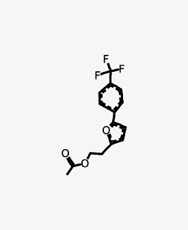 CC(=O)OCCc1ccc(-c2ccc(C(F)(F)F)cc2)o1